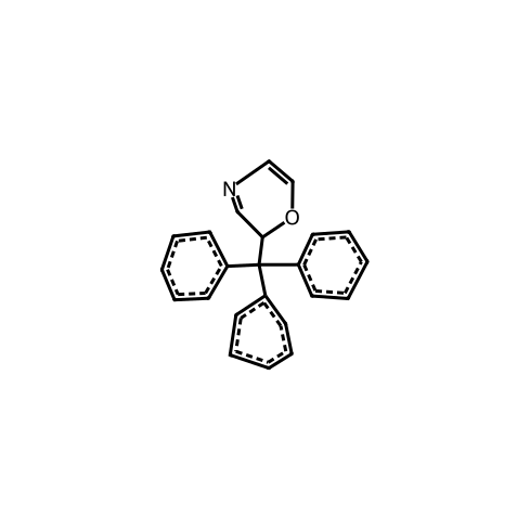 C1=COC(C(c2ccccc2)(c2ccccc2)c2ccccc2)C=N1